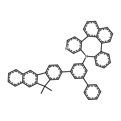 CC1(C)c2cc(-c3cc(-c4ccccc4)cc(N4c5ccccc5-c5cccc6cccc(c56)-c5ccncc54)c3)ccc2-c2cc3ccccc3cc21